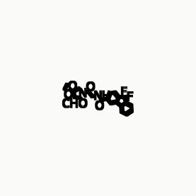 O=CC1CC2(CN1C(=O)CNC(=O)c1ccc3c(c1)-c1ccccc1C3(F)F)OCCO2